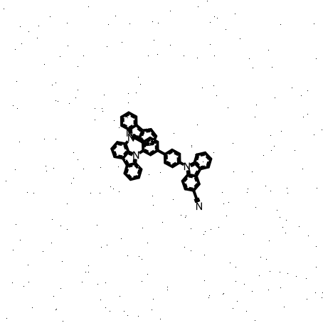 N#Cc1ccc2c(c1)c1ccccc1n2-c1ccc(-c2ccc(C#N)c(-n3c4ccccc4c4cccc(-n5c6ccccc6c6ccccc65)c43)c2)cc1